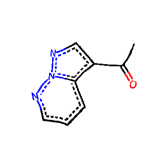 CC(=O)c1cnn2ncccc12